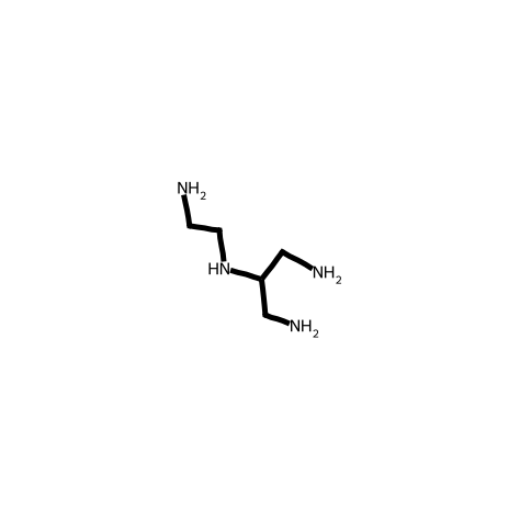 NCCNC(CN)CN